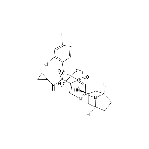 CC(C)(Oc1ccc(F)cc1Cl)C(=O)N[C@H]1C[C@H]2CC[C@@H](C1)N2c1ccc(C(=O)NC2CC2)cn1